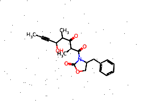 CC#CC(O)C(C)C(=O)[C@H](C)C(=O)N1C(=O)OCC1Cc1ccccc1